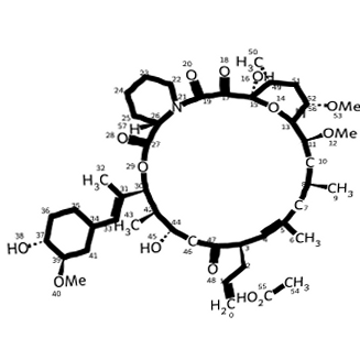 C=CC[C@@H]1C=C(C)C[C@H](C)C[C@H](OC)[C@H]2O[C@@](O)(C(=O)C(=O)N3CCCC[C@H]3C(=O)O[C@H](C(C)=CC3CC[C@@H](O)[C@H](OC)C3)[C@H](C)[C@@H](O)CC1=O)[C@H](C)C[C@@H]2OC.CC(=O)O